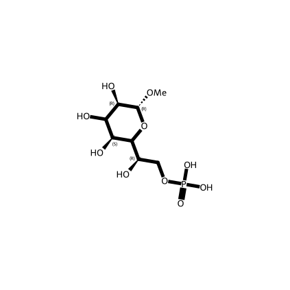 CO[C@@H]1OC([C@H](O)COP(=O)(O)O)[C@@H](O)C(O)[C@H]1O